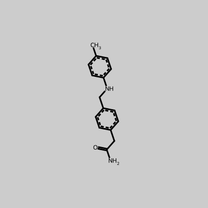 Cc1ccc(NCc2ccc(CC(N)=O)cc2)cc1